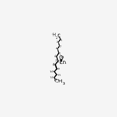 [CH2]CCCCCCCCCCCCC.[O]=[Zn]